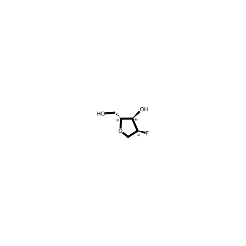 OC[C@H]1O[CH][C@H](F)[C@@H]1O